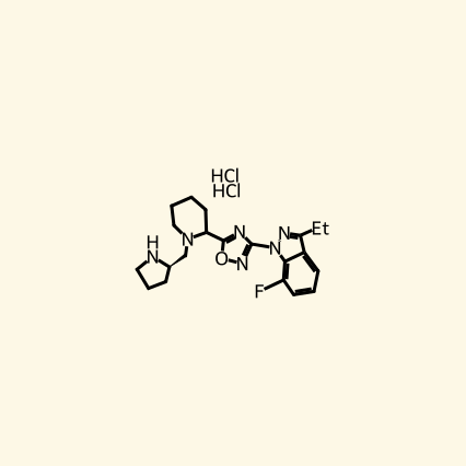 CCc1nn(-c2noc(C3CCCCN3C[C@H]3CCCN3)n2)c2c(F)cccc12.Cl.Cl